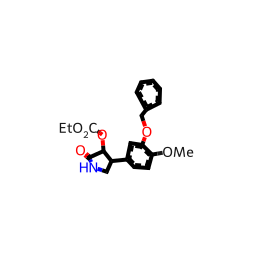 CCOC(=O)OC1C(=O)NCC1c1ccc(OC)c(OCc2ccccc2)c1